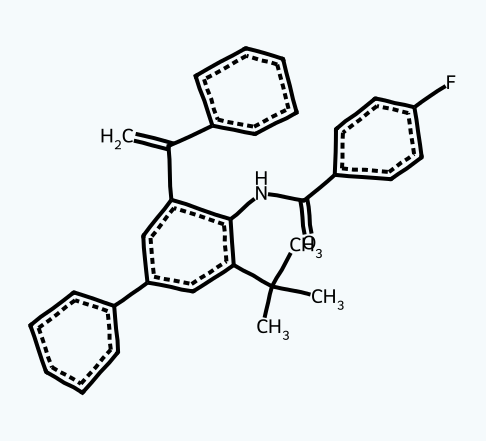 C=C(c1ccccc1)c1cc(-c2ccccc2)cc(C(C)(C)C)c1NC(=O)c1ccc(F)cc1